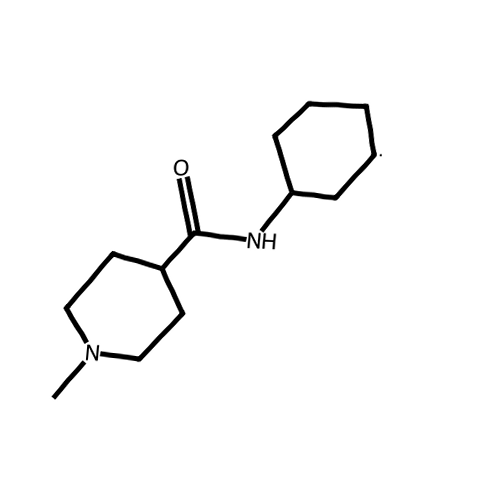 CN1CCC(C(=O)NC2C[CH]CCC2)CC1